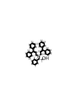 OC[C@H](c1ccccc1)N(CC=C(c1ccccc1)c1ccccc1)CC=C(c1ccccc1)c1ccccc1